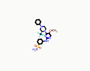 COc1cnc(Nc2cccc(S(N)(=O)=O)c2)nc1N1CCN(c2ccccc2)C[C@@H]1C(F)(F)F